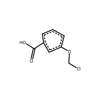 O=C(O)c1cccc(OCCl)c1